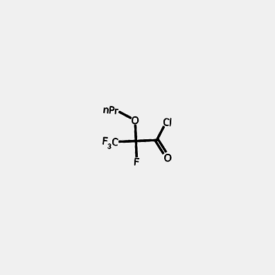 CCCOC(F)(C(=O)Cl)C(F)(F)F